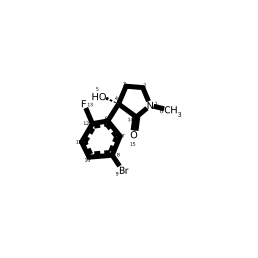 CN1CC[C@](O)(c2cc(Br)ccc2F)C1=O